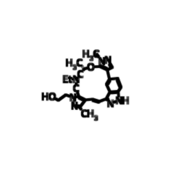 CCN1Cc2c(c(C)nn2CCO)/C=C/c2n[nH]c3ccc(cc23)-c2cnn(C)c2O[C@@H](C)C1